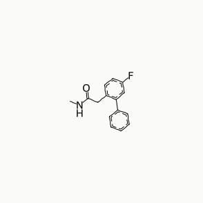 CNC(=O)Cc1ccc(F)cc1-c1ccccc1